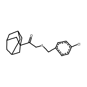 O=C(CSCc1ccc(Cl)cc1)C12CC3CC(CC(C3)C1)C2